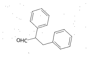 O=CC(Cc1ccccc1)c1ccccc1